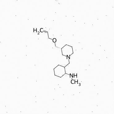 C=CCOC[C@@H]1CCCN(CC2CCCCC2NC)C1